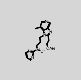 COCCc1nc2cncc(C)c2n1CCC[S+]([O-])c1ncccn1